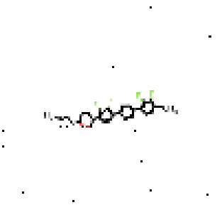 C=CCCC1CCC(c2ccc(-c3ccc(-c4ccc(CC)c(F)c4F)cc3)c(F)c2F)CO1